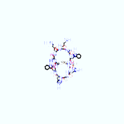 CCSCN1C(=O)N[C@@H](Cc2c[nH]cn2)C(=O)N[C@H](C)C(=O)N[C@@H](Cc2c[nH]cn2)C(=O)N[C@@H](Cc2c[nH]c3ccccc23)C(=O)N[C@H]2CSSC1NC(=O)[C@H](Cc1c[nH]c3ccccc13)NC(=O)[C@H](C)NC(=O)[C@H](CCCCN)NC(=O)[C@H](CCCCN)NC(=O)[C@H](C)NC2=O